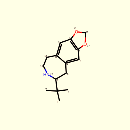 CC(C)(C)C1Cc2cc3c(cc2CCN1)OCO3